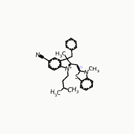 CC(C)CC[N+]1=C(/C=C2\Sc3ccccc3N2C)C(C)(Cc2ccccc2)c2cc(C#N)ccc21